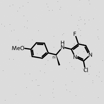 COc1ccc([C@H](C)Nc2nc(Cl)ncc2F)cc1